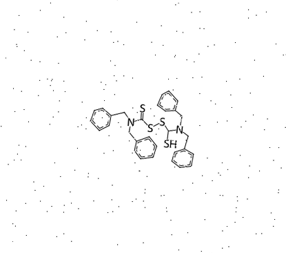 S=C(SSC(S)N(Cc1ccccc1)Cc1ccccc1)N(Cc1ccccc1)Cc1ccccc1